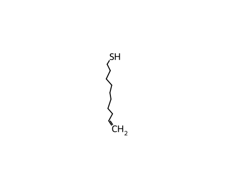 C=CCCCCCCCCS